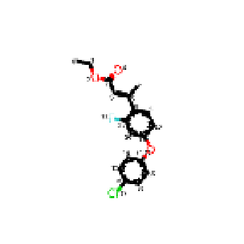 CCOC(=O)C=C(C)c1ccc(Oc2ccc(Cl)cc2)cc1F